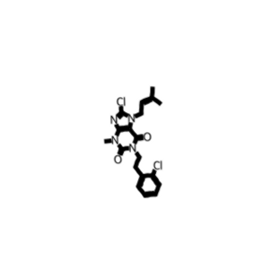 CC(C)=CCn1c(Cl)nc2c1c(=O)n(CCc1ccccc1Cl)c(=O)n2C